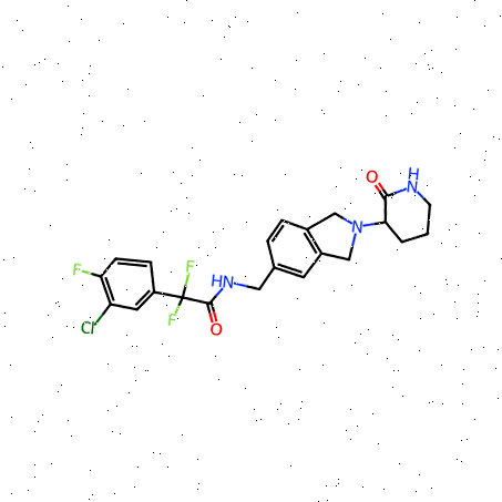 O=C1NCCCC1N1Cc2ccc(CNC(=O)C(F)(F)c3ccc(F)c(Cl)c3)cc2C1